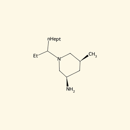 CCCCCCCC(CC)N1C[C@@H](C)C[C@@H](N)C1